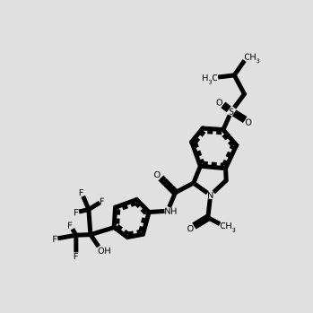 CC(=O)N1Cc2cc(S(=O)(=O)CC(C)C)ccc2C1C(=O)Nc1ccc(C(O)(C(F)(F)F)C(F)(F)F)cc1